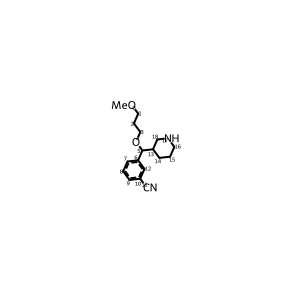 COCCCOC(c1cccc(C#N)c1)C1CCCNC1